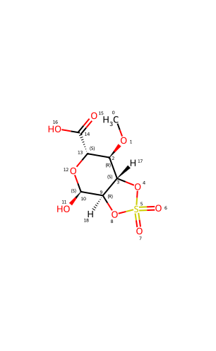 CO[C@H]1[C@@H]2OS(=O)(=O)O[C@H]2[C@@H](O)O[C@@H]1C(=O)O